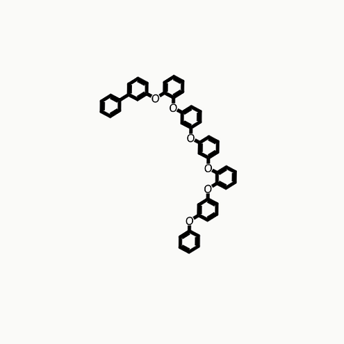 c1ccc(Oc2cccc(Oc3ccccc3Oc3cccc(Oc4cccc(Oc5ccccc5Oc5cccc(-c6ccccc6)c5)c4)c3)c2)cc1